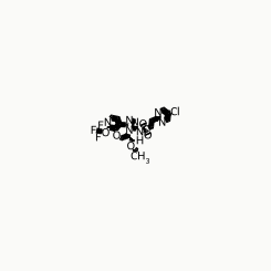 CCOC[C@H]1COc2c(ccnc2OC(F)(F)F)-c2nnc(NS(=O)(=O)CCc3ncc(Cl)cn3)n21